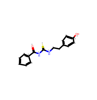 O=C(NC(=S)NCCc1ccc(O)cc1)c1ccccc1